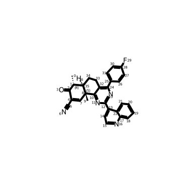 C[C@H]1C(=O)C(C#N)=C[C@@]2(C)c3nc(-c4ccnc5ccccc45)nc(-c4ccc(F)cc4)c3CC[C@H]12